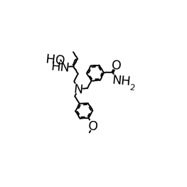 CC=C(CCN(Cc1ccc(OC)cc1)Cc1cccc(C(N)=O)c1)NO